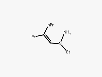 CCC/C(=C\N(N)CC)C(C)C